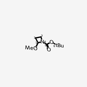 COC1CCN1C(=O)OC(C)(C)C